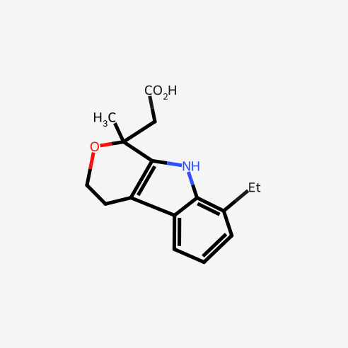 CCc1cccc2c3c([nH]c12)C(C)(CC(=O)O)OCC3